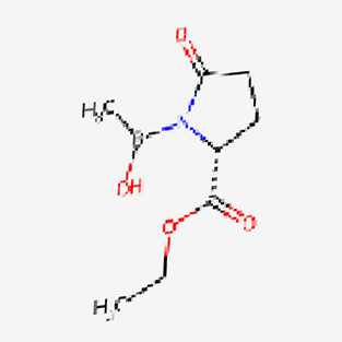 CCOC(=O)[C@H]1CCC(=O)N1B(C)O